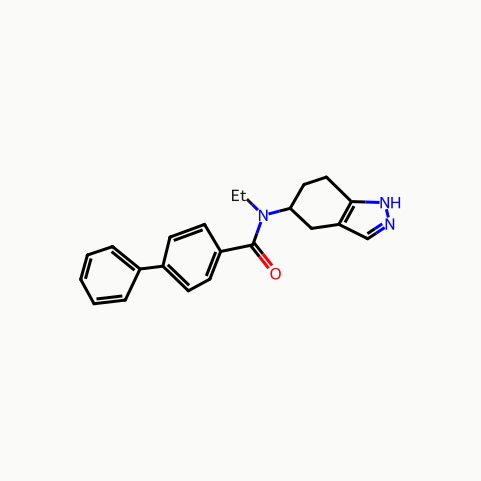 CCN(C(=O)c1ccc(-c2ccccc2)cc1)C1CCc2[nH]ncc2C1